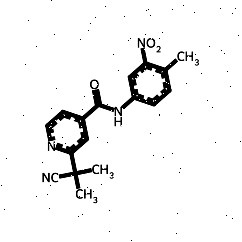 Cc1ccc(NC(=O)c2ccnc(C(C)(C)C#N)c2)cc1[N+](=O)[O-]